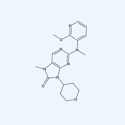 COc1ncccc1N(C)c1ncc2c(n1)n(C1CCOCC1)c(=O)n2C